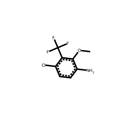 COc1c(N)ccc(Cl)c1C(F)(F)F